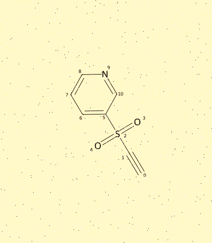 C#CS(=O)(=O)c1cccnc1